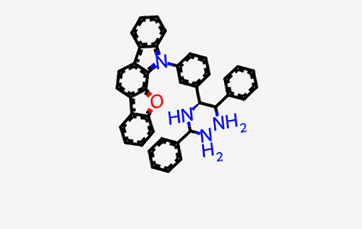 NC(N[C@@H](c1cccc(-n2c3ccccc3c3ccc4c5ccccc5oc4c32)c1)C(N)c1ccccc1)c1ccccc1